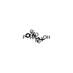 CC(C)(CO)c1cc(NC(=O)C(C)(C)[S+]([O-])c2ccc(F)cc2)no1